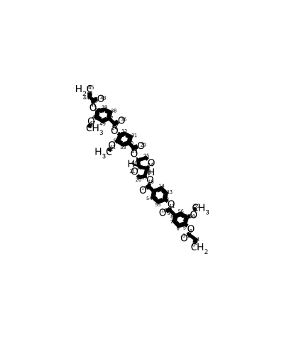 C=CC(=O)Oc1ccc(C(=O)Oc2ccc(C(=O)O[C@@H]3CO[C@H]4[C@@H]3OC[C@H]4OC(=O)c3ccc(OC(=O)c4ccc(OC(=O)C=C)c(OC)c4)c(OC)c3)cc2)cc1OC